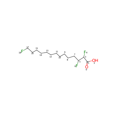 O=C(O)C(F)C(F)CCCCCCCCCCCF